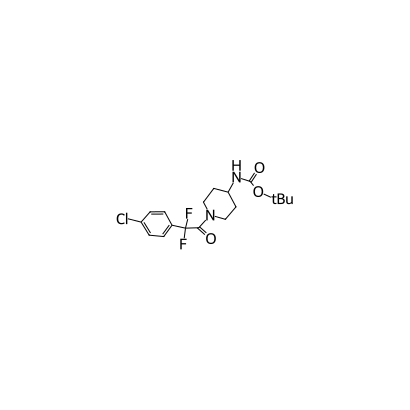 CC(C)(C)OC(=O)NC1CCN(C(=O)C(F)(F)c2ccc(Cl)cc2)CC1